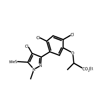 CCOC(=O)C(C)Oc1cc(-c2nn(C)c(SC)c2Cl)c(Cl)cc1Cl